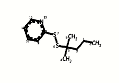 CCCC(C)(C)SSc1ccccn1